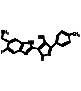 Cc1ccc(-c2n[nH]c(-c3nc4cc(F)c(CN)cc4[nH]3)c2O)cc1